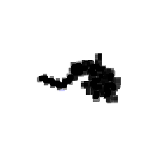 CCCCCC/C=C\CCCOc1cccc(C(=O)N[C@@H]2C(O[C@H]3C(O)C(NC(C)=O)[C@H](OC4C(CO)O[C@@H](C)[C@@H](NC(C)=O)[C@H]4O)O[C@H]3CO)OC(CO)[C@@H](O)[C@@H]2O)c1